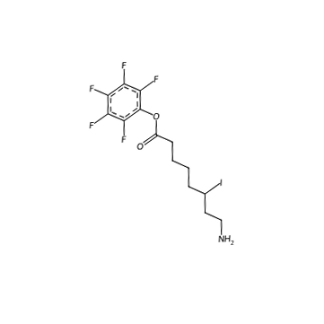 NCCC(I)CCCCC(=O)Oc1c(F)c(F)c(F)c(F)c1F